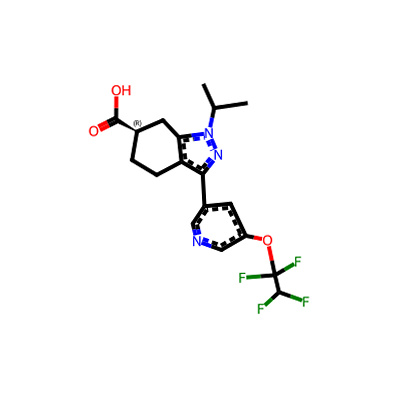 CC(C)n1nc(-c2cncc(OC(F)(F)C(F)F)c2)c2c1C[C@H](C(=O)O)CC2